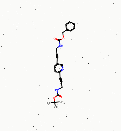 CC(C)(C)OC(=O)NCC#Cc1ccc(C#CCNC(=O)OCc2ccccc2)cn1